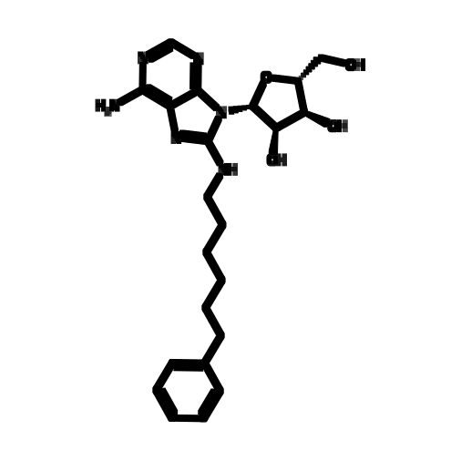 Nc1ncnc2c1nc(NCCCCCCc1ccccc1)n2[C@@H]1O[C@H](CO)[C@@H](O)[C@H]1O